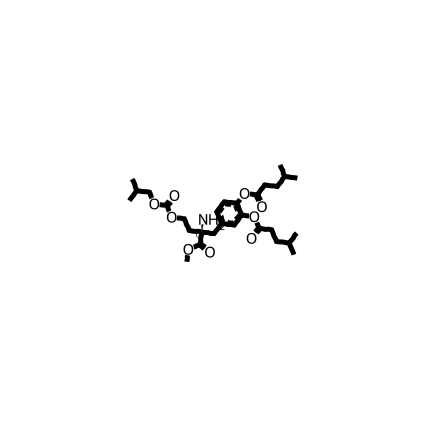 COC(=O)[C@@](N)(CCOC(=O)OCC(C)C)Cc1ccc(OC(=O)CCC(C)C)c(OC(=O)CCC(C)C)c1